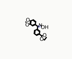 O/N=C(\c1cccc(C2OCCO2)c1)c1ccc2c(c1)OCO2